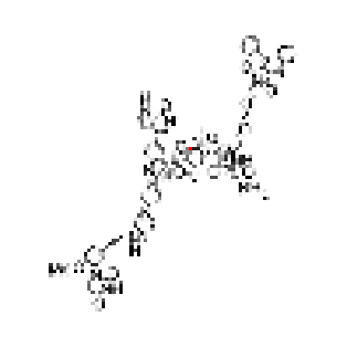 COc1ccc(C#CCNC2(C)CCN(C3CCN(c4nc([C@@](COCNC(=O)CNC(=O)[C@H](CC(N)=O)NC(=O)CCOCCOCCN5C(=O)C(Sc6ccccc6)=C(Sc6ccccc6)C5=O)(OC5CC5)c5ccccc5)c5cc(-c6cn(C)c(=O)c7[nH]ccc67)ccc5n4)CC3)CC2)cc1N1CCC(=O)NC1=O